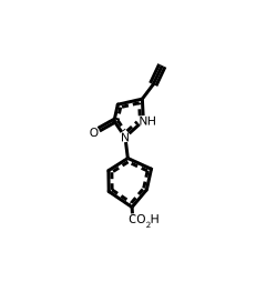 C#Cc1cc(=O)n(-c2ccc(C(=O)O)cc2)[nH]1